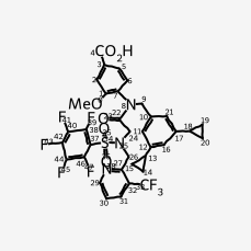 COc1cc(C(=O)O)ccc1N(Cc1cc(C2CC2)cc(C2CC2)c1)C(=O)CN(Cc1ncccc1C(F)(F)F)S(=O)(=O)c1c(F)c(F)c(F)c(F)c1F